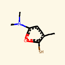 Cc1cc(N(C)C)oc1S